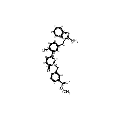 COC(=O)c1cccc(Cn2nc(-c3cc(Cn4c(N)nc5ccccc54)ccc3Cl)ccc2=O)c1